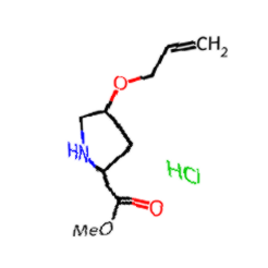 C=CCOC1CNC(C(=O)OC)C1.Cl